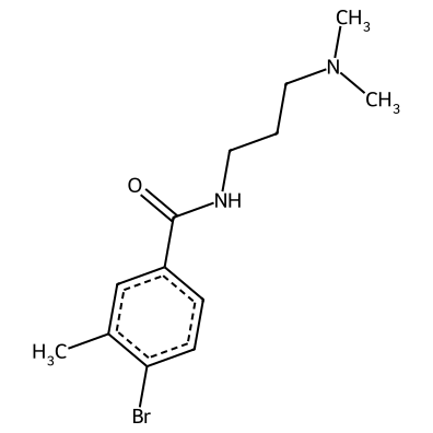 Cc1cc(C(=O)NCCCN(C)C)ccc1Br